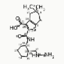 CC1(C)CCc2sc(C(=O)N[C@@H]3CCCC[C@@H]3CNN)c(C(=O)O)c2C1